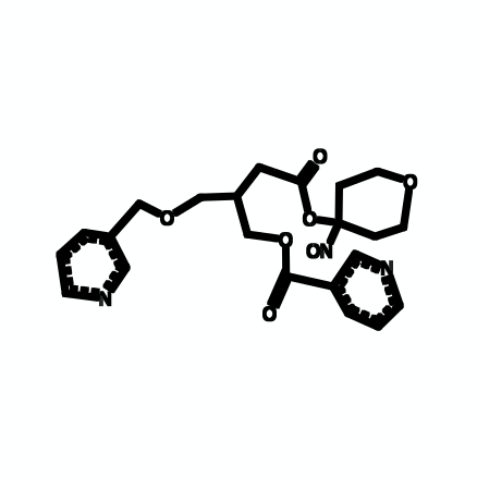 O=NC1(OC(=O)CC(COCc2cccnc2)COC(=O)c2cccnc2)CCOCC1